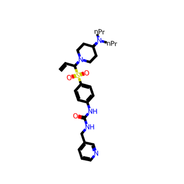 C=CC(N1CCC(N(CCC)CCC)CC1)S(=O)(=O)c1ccc(NC(=O)NCc2cccnc2)cc1